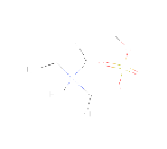 CC[N+](C)(CC)CC.COS(=O)(=O)[O-]